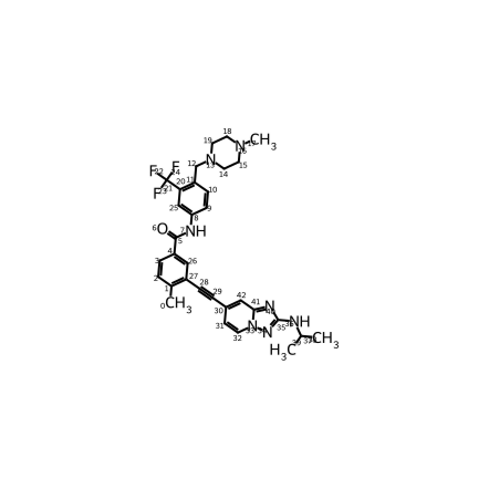 Cc1ccc(C(=O)Nc2ccc(CN3CCN(C)CC3)c(C(F)(F)F)c2)cc1C#Cc1ccn2nc(NC(C)C)nc2c1